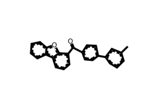 Cc1cccc(-c2ccc(C(=O)c3cccc4c3oc3ccccc34)cc2)c1